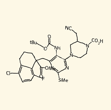 COC(=O)C1(Cc2nc(SC)nc(N3CCN(C(=O)O)C(CC#N)C3)c2NC(=O)OC(C)(C)C)CCCc2c(Cl)ccc(F)c21